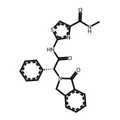 CNC(=O)c1csc(NC(=O)[C@@H](c2ccccc2)N2Cc3ccccc3C2=O)n1